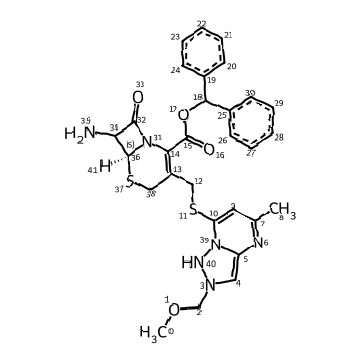 COCN1C=C2N=C(C)C=C(SCC3=C(C(=O)OC(c4ccccc4)c4ccccc4)N4C(=O)C(N)[C@@H]4SC3)N2N1